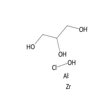 OCC(O)CO.OCl.[Al].[Zr]